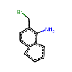 Nc1c(CBr)ccc2ccccc12